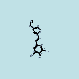 Fc1cc(C=Cc2nc(CCl)co2)cc(F)c1F